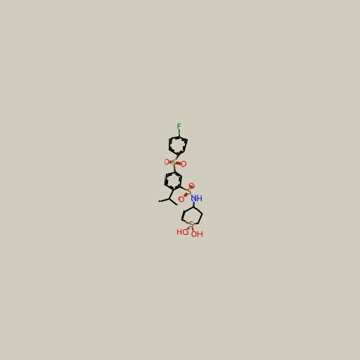 CC(C)c1ccc(S(=O)(=O)c2ccc(F)cc2)cc1S(=O)(=O)NC1CCS(O)(O)CC1